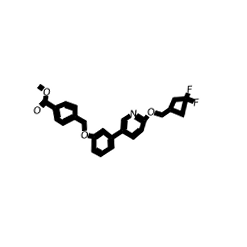 COC(=O)c1ccc(COc2cccc(-c3ccc(OCC4CC(F)(F)C4)nc3)c2)cc1